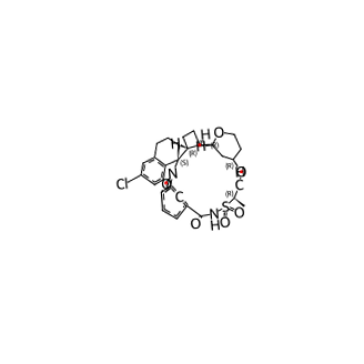 C[C@@H]1CO[C@@H]2CCO[C@H](C2)[C@@H]2CC[C@H]2[C@]2(CCCc3cc(Cl)ccc32)N2CCCOc3ccc(cc32)C(=O)NS1(=O)=O